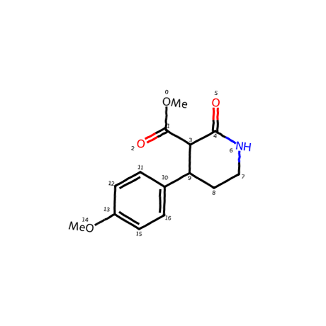 COC(=O)C1C(=O)NCCC1c1ccc(OC)cc1